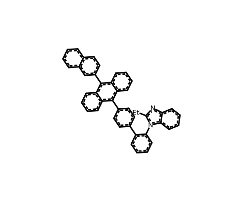 CCc1nc2ccccc2n1-c1ccccc1-c1ccc(-c2c3ccccc3c(-c3ccc4ccccc4c3)c3ccccc23)cc1